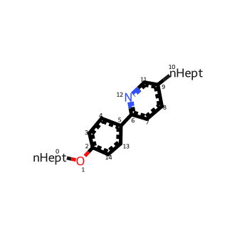 CCCCCCCOc1ccc(-c2ccc(CCCCCCC)cn2)cc1